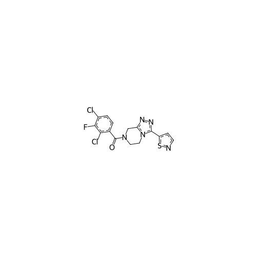 O=C(c1ccc(Cl)c(F)c1Cl)N1CCn2c(nnc2-c2ccns2)C1